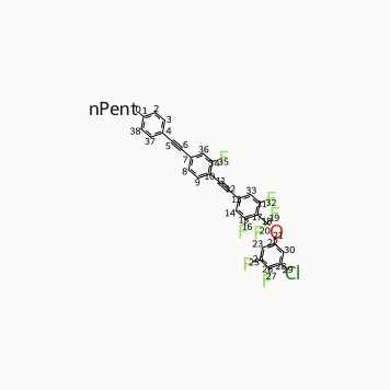 CCCCCc1ccc(C#Cc2ccc(C#Cc3cc(F)c(C(F)(F)Oc4cc(F)c(F)c(Cl)c4)c(F)c3)c(F)c2)cc1